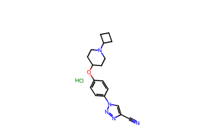 Cl.N#Cc1cn(-c2ccc(OC3CCN(C4CCC4)CC3)cc2)nn1